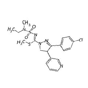 CCN(C)S(=O)(=O)/N=C(\SC)N1CC(c2cccnc2)C(c2ccc(Cl)cc2)=N1